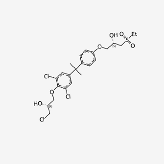 CCS(=O)(=O)C[C@@H](O)COc1ccc(C(C)(C)c2cc(Cl)c(OC[C@@H](O)CCl)c(Cl)c2)cc1